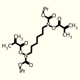 C=C(C)C(=O)ON(CCCCCCN(OC(=O)C(=C)C)C(=O)OC(C)C)C(=O)OC(C)C